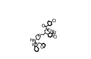 CN(CC(CCN1CCC(Nc2nc3ccccc3n2Cc2ccco2)CC1)c1ccc(Cl)c(Cl)c1)C(=O)c1ccc(Cl)cc1